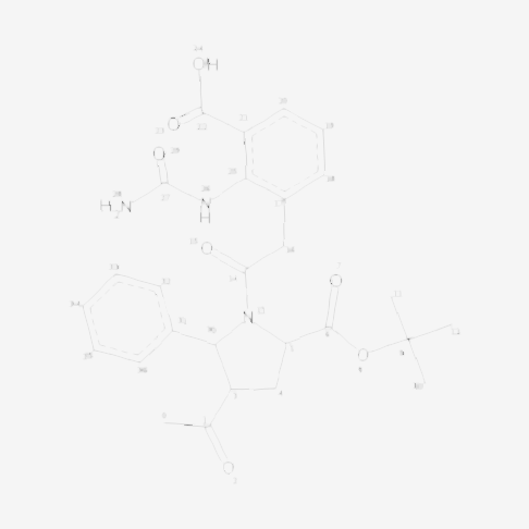 CC(=O)C1CC(C(=O)OC(C)(C)C)N(C(=O)Cc2cccc(C(=O)O)c2NC(N)=O)C1c1ccccc1